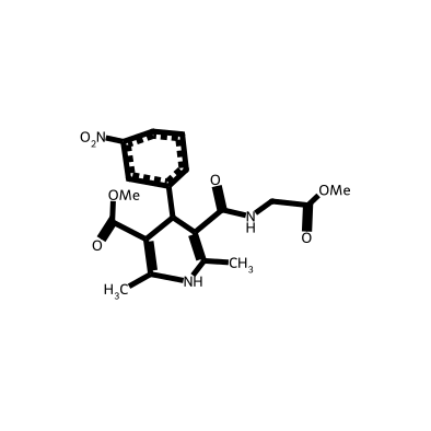 COC(=O)CNC(=O)C1=C(C)NC(C)=C(C(=O)OC)C1c1cccc([N+](=O)[O-])c1